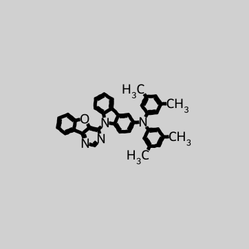 Cc1cc(C)cc(N(c2cc(C)cc(C)c2)c2ccc3c(c2)c2ccccc2n3-c2ncnc3c2oc2ccccc23)c1